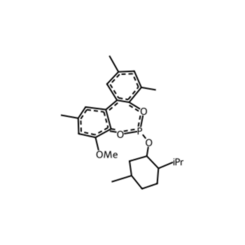 COc1cc(C)cc2c1op(OC1CC(C)CCC1C(C)C)oc1c(C)cc(C)cc12